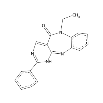 CCN1C(=O)C2=CN=C(c3ccccc3)NC2=Nc2ccccc21